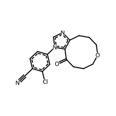 N#Cc1ccc(-n2cnc3c2C(=O)CCCOCCC3)cc1Cl